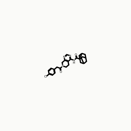 O=C(Cc1ccc(Cl)cc1)N1CCc2c(ncnc2NC(=O)C23CC4CC(CC(C4)C2)C3)C1